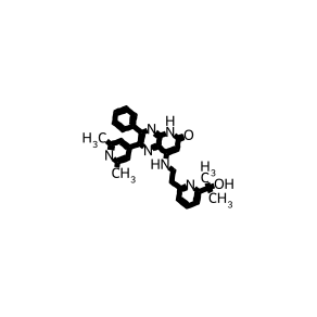 Cc1cc(-c2nc3c(NCCc4cccc(C(C)(C)O)n4)cc(=O)[nH]c3nc2-c2ccccc2)cc(C)n1